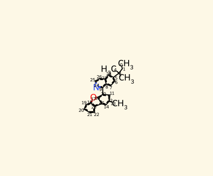 CCC(C)(C)c1ccc2c(-c3cc(C)cc4c3oc3ccccc34)nccc2c1